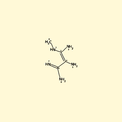 CN/C(N)=C(/N)C(=N)N